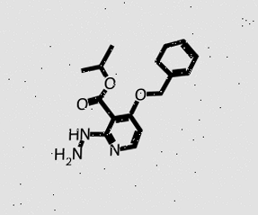 CC(C)OC(=O)c1c(OCC2=CC=CCC2)ccnc1NN